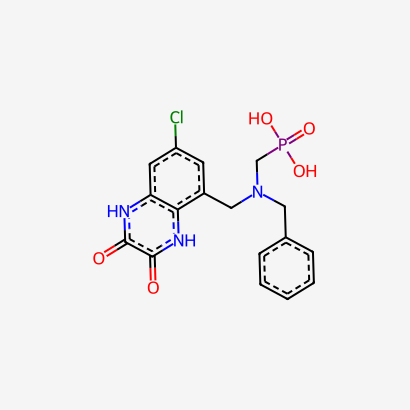 O=c1[nH]c2cc(Cl)cc(CN(Cc3ccccc3)CP(=O)(O)O)c2[nH]c1=O